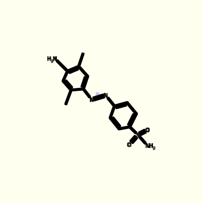 Cc1cc(/N=N/c2ccc(S(N)(=O)=O)cc2)c(C)cc1N